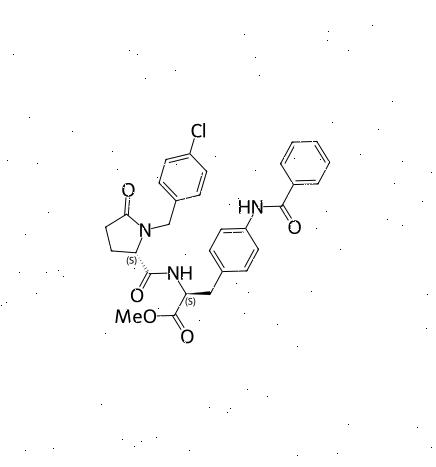 COC(=O)[C@H](Cc1ccc(NC(=O)c2ccccc2)cc1)NC(=O)[C@@H]1CCC(=O)N1Cc1ccc(Cl)cc1